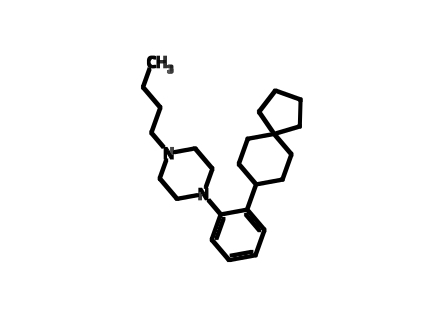 CCCCN1CCN(c2ccccc2C2CCC3(CCCC3)CC2)CC1